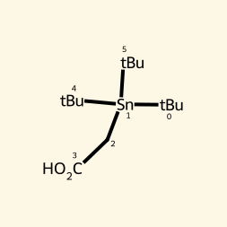 C[C](C)(C)[Sn]([CH2]C(=O)O)([C](C)(C)C)[C](C)(C)C